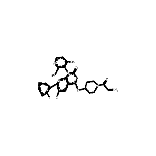 C=CC(=O)N1CCC(Oc2nc(=O)n(-c3c(C)ccnc3C(C)C)c3nc(-c4ccccc4F)c(Cl)cc23)CC1